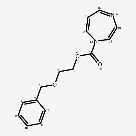 O=C(OCCOCc1ccccc1)N1C=CC=NC=C1